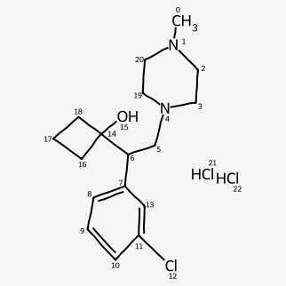 CN1CCN(CC(c2cccc(Cl)c2)C2(O)CCC2)CC1.Cl.Cl